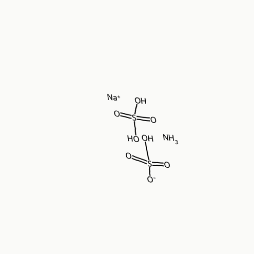 N.O=S(=O)(O)O.O=S(=O)([O-])O.[Na+]